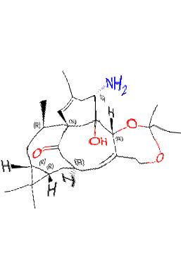 CC1=C[C@]23C(=O)[C@@H](C=C4COC(C)(C)O[C@H]4C2(O)[C@H]1N)[C@H]1[C@@H](C[C@H]3C)C1(C)C